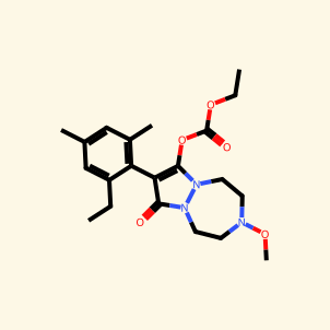 CCOC(=O)Oc1c(-c2c(C)cc(C)cc2CC)c(=O)n2n1CCN(OC)CC2